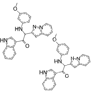 COc1cccc(NC(C(=O)c2c[nH]c3ccccc23)c2cc3ccccn3n2)c1.COc1cccc(NC(C(=O)c2c[nH]c3ccccc23)c2cc3ccccn3n2)c1